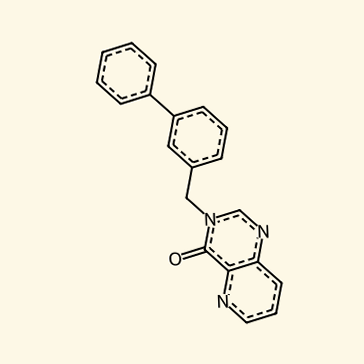 O=c1c2ncccc2ncn1Cc1cccc(-c2ccccc2)c1